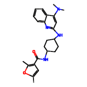 Cc1cc(C(=O)NC2CCC(Nc3cc(N(C)C)c4ccccc4n3)CC2)c(C)o1